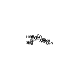 CN(C(=O)Cc1ccc2nc(Nc3cccc(C#N)c3)oc2c1)c1ccc(C2CN(C(=O)c3cccs3)CC2C(=O)O)cc1